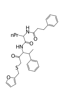 CCCC(NC(=O)CCc1ccccc1)C(=O)NC(C(=O)CSCc1ccco1)C(C)c1ccccc1